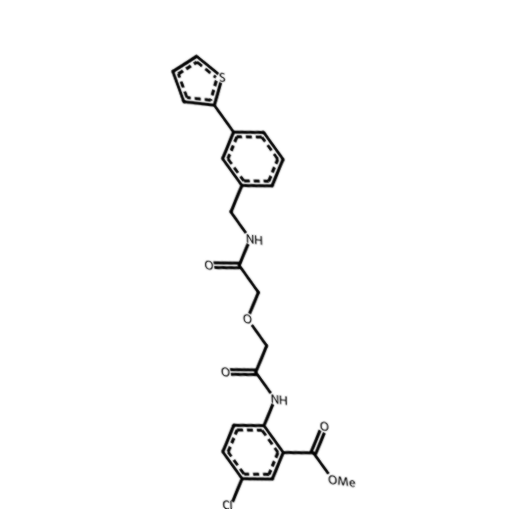 COC(=O)c1cc(Cl)ccc1NC(=O)COCC(=O)NCc1cccc(-c2cccs2)c1